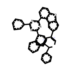 C/C=C(\C=C(\c1ccccc1)C(C)c1ccccc1)c1ccc2oc3cccc(-c4nc(-c5ccccc5)nc(-c5ccccc5)n4)c3c2c1